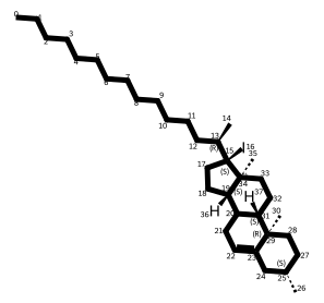 CCCCCCCCCCCCC[C@@H](C)[C@@]1(I)CC[C@H]2C3CC=C4C[C@@H](C)CC[C@]4(C)[C@H]3CC[C@@]21C